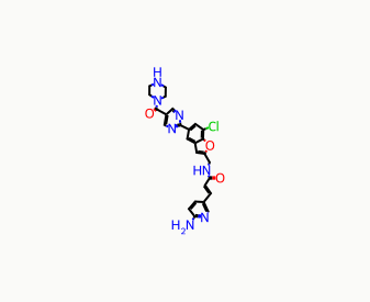 Nc1ccc(C=CC(=O)NCc2cc3cc(-c4ncc(C(=O)N5CCNCC5)cn4)cc(Cl)c3o2)cn1